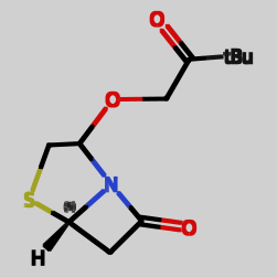 CC(C)(C)C(=O)COC1CS[C@H]2CC(=O)N12